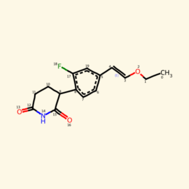 CCO/C=C/c1ccc(C2CCC(=O)NC2=O)c(F)c1